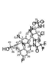 CN(C)c1cc(-c2ccc(Cl)c3c(NS(C)(=O)=O)nn(C)c23)c([C@H](Cc2cc(F)cc(F)c2)NC(=O)C(F)(F)F)nc1C#CC(C)(C)O